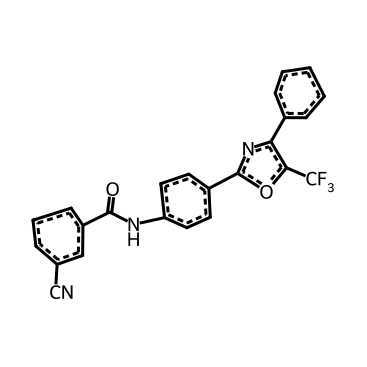 N#Cc1cccc(C(=O)Nc2ccc(-c3nc(-c4ccccc4)c(C(F)(F)F)o3)cc2)c1